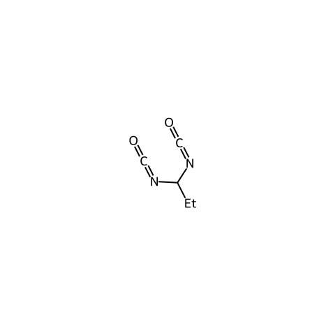 [CH2]CC(N=C=O)N=C=O